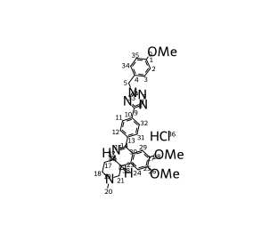 COc1ccc(Cn2nnc(-c3ccc(C4=N[C@@H]5CCN(C)C[C@@H]5c5cc(OC)c(OC)cc54)cc3)n2)cc1.Cl